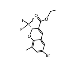 CCOC(=O)C1=Cc2cc(Br)cc(C)c2O[C@@H]1C(F)(F)F